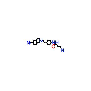 N#CCCCC(=O)N[C@H]1CC[C@H](CCN2CCc3cc(C#N)ccc3C2)CC1